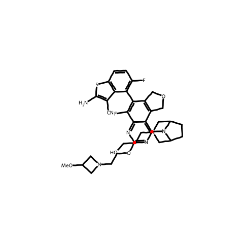 COC1CN(CCOc2nc(N3C4CCC3CN(CCCO)C4)c3c4c(c(-c5c(F)ccc6sc(N)c(C#N)c56)c(F)c3n2)COC4)C1